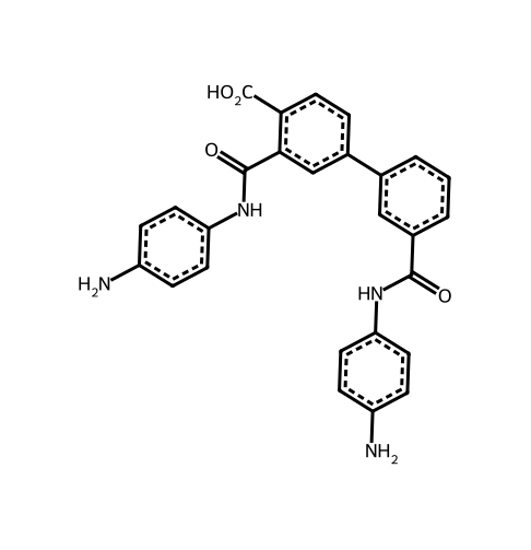 Nc1ccc(NC(=O)c2cccc(-c3ccc(C(=O)O)c(C(=O)Nc4ccc(N)cc4)c3)c2)cc1